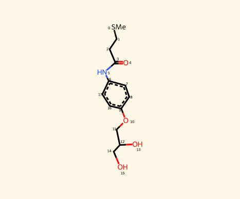 CSCCC(=O)Nc1ccc(OCC(O)CO)cc1